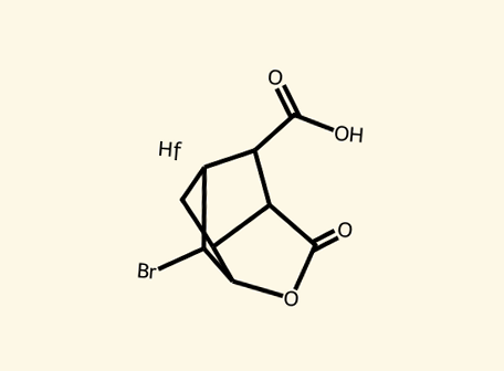 O=C(O)C1C2CC3C(OC(=O)C31)C2Br.[Hf]